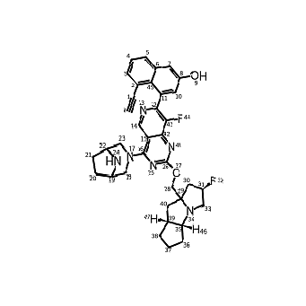 C#Cc1cccc2cc(O)cc(-c3ncc4c(N5CC6CCC(C5)N6)nc(OCC56C[C@@H](F)CN5[C@@H]5CCC[C@@H]5C6)nc4c3F)c12